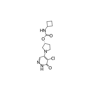 O=C(NC1CCC1)O[C@@H]1CCN(c2cn[nH]c(=O)c2Cl)C1